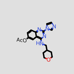 CC(=O)Oc1ccc2nc(-n3ccnc3)nc(NCC3CCOCC3)c2c1